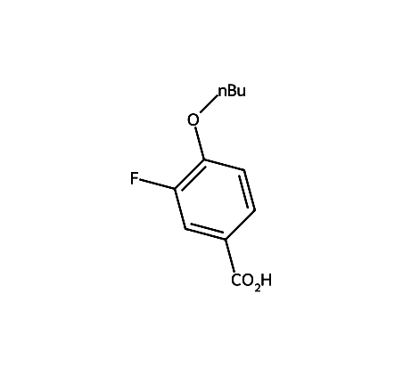 CCCCOc1ccc(C(=O)O)cc1F